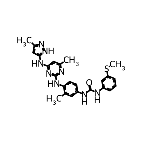 CSc1cccc(NC(=O)Nc2ccc(Nc3nc(C)cc(Nc4cc(C)n[nH]4)n3)c(C)c2)c1